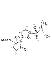 COC1(C)CNC(=O)N1c1nnc(S(=O)(=O)N(C)C)s1